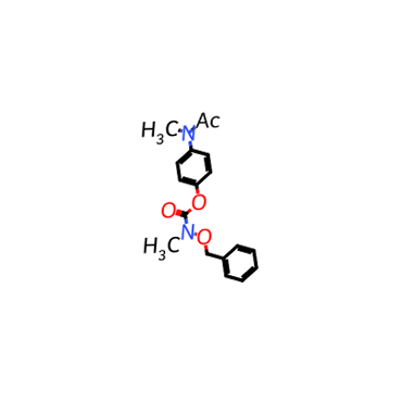 CC(=O)N(C)c1ccc(OC(=O)N(C)OCc2ccccc2)cc1